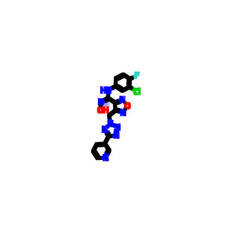 O/N=C(/Nc1ccc(F)c(Cl)c1)c1nonc1Cn1nnc(-c2cccnc2)n1